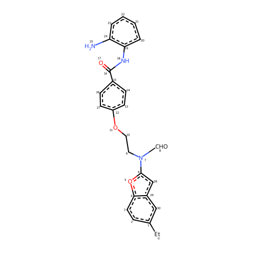 CCc1ccc2oc(N(C=O)CCOc3ccc(C(=O)Nc4ccccc4N)cc3)cc2c1